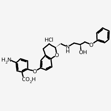 Cl.Nc1ccc(Oc2ccc3c(c2)CC[C@H](CNC[C@H](O)COc2ccccc2)O3)c(C(=O)O)c1